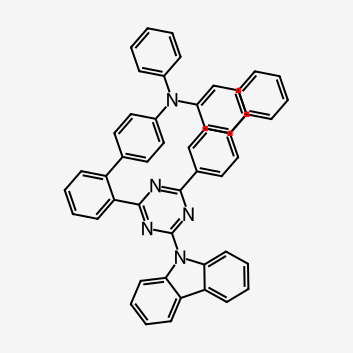 c1ccc(-c2ccc(-c3nc(-c4ccccc4-c4ccc(N(c5ccccc5)c5ccccc5)cc4)nc(-n4c5ccccc5c5ccccc54)n3)cc2)cc1